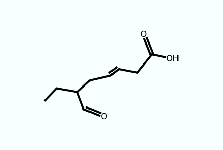 CCC(C=O)CC=CCC(=O)O